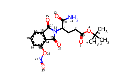 CC(C)(C)OC(=O)CCC(C(N)=O)N1C(=O)c2cccc(ON=O)c2C1=O